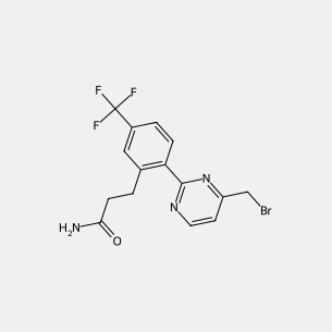 NC(=O)CCc1cc(C(F)(F)F)ccc1-c1nccc(CBr)n1